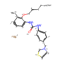 Br.CCCCCCCCCCCCCCOc1c(NC(=O)Nc2ccc(CN3C=CSC3)cc2)cccc1C(C)(C)C